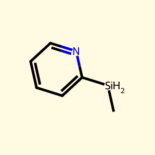 C[SiH2]c1ccccn1